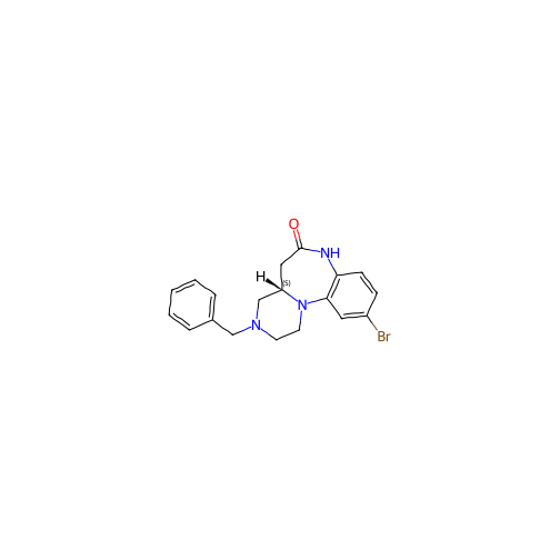 O=C1C[C@H]2CN(Cc3ccccc3)CCN2c2cc(Br)ccc2N1